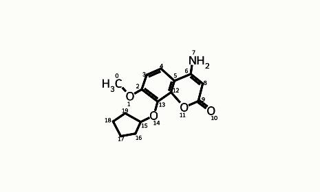 COc1ccc2c(N)cc(=O)oc2c1OC1CCCC1